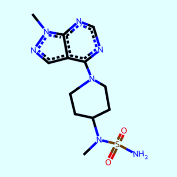 CN(C1CCN(c2ncnc3c2cnn3C)CC1)S(N)(=O)=O